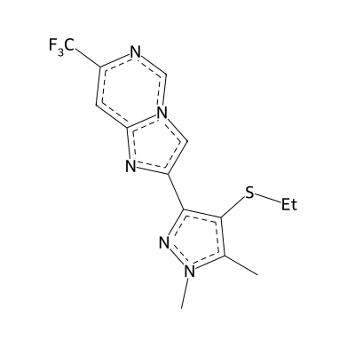 CCSc1c(-c2cn3cnc(C(F)(F)F)cc3n2)nn(C)c1C